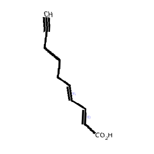 C#CCCC/C=C/C=C/C(=O)O